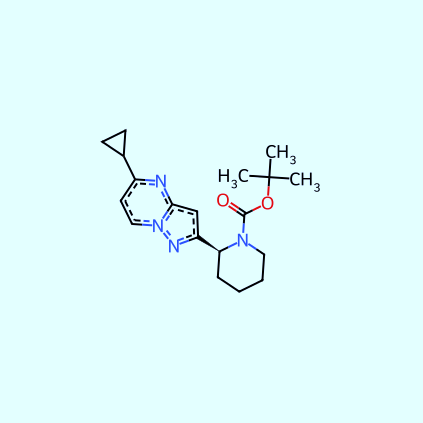 CC(C)(C)OC(=O)N1CCCC[C@H]1c1cc2nc(C3CC3)ccn2n1